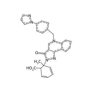 CC1(n2nc3c4ccccc4n(Cc4ccc(-n5cccn5)cc4)cc-3c2=O)C=CC=CC1C(=O)O